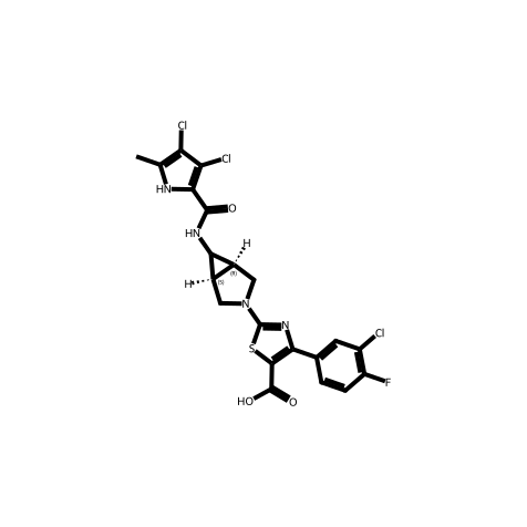 Cc1[nH]c(C(=O)NC2[C@H]3CN(c4nc(-c5ccc(F)c(Cl)c5)c(C(=O)O)s4)C[C@@H]23)c(Cl)c1Cl